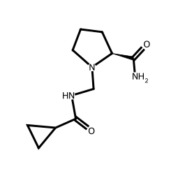 NC(=O)[C@@H]1CCCN1CNC(=O)C1CC1